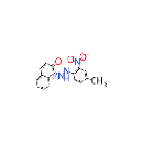 Cc1ccc(N/N=C2\C(=O)C=Cc3ccccc32)c([N+](=O)[O-])c1